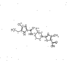 CCc1[nH]c(C(=O)N[C@H]2CCN(c3nc(C)c(C(=O)O)s3)C[C@@H]2F)nc1Cl